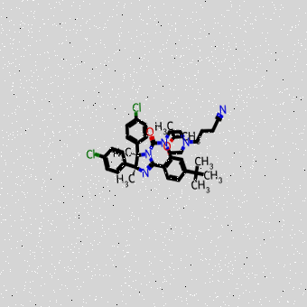 CC(C)Oc1cc(C(C)(C)C)ccc1C1=N[C@@](C)(c2ccc(Cl)cc2)[C@@](C)(c2ccc(Cl)cc2)N1C(=O)N1CCN(CCCC#N)CC1